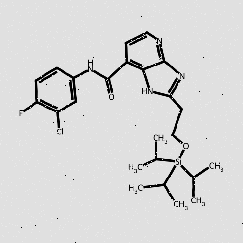 CC(C)[Si](OCCc1nc2nccc(C(=O)Nc3ccc(F)c(Cl)c3)c2[nH]1)(C(C)C)C(C)C